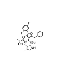 C[C@H](O)C(=O)N(CC1CNC[C@@H]1C)[C@H](c1nc(-c2cc(F)ccc2F)oc1Cc1ccccc1)C(C)(C)C